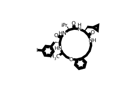 CC1COc2ccccc2CCCNC(=O)[C@H](CC2CC2)NC(=O)[C@@H](C(C)C)NC(=O)[C@@H](Cc2cccc(I)c2)N1